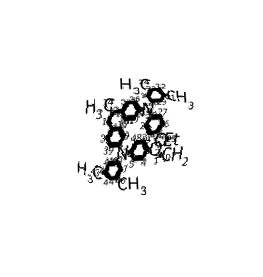 C=COc1ccc(N(c2ccc(CC(C)c3ccc(N(c4ccc(OCC)cc4)c4cc(C)cc(C)c4)cc3)cc2)c2cc(C)cc(C)c2)cc1